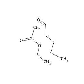 CCCCC=O.CCOC(C)=O